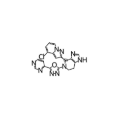 Clc1cccn2nc([C@H]3c4nc[nH]c4CCN3c3nnc(-c4ccncn4)o3)cc12